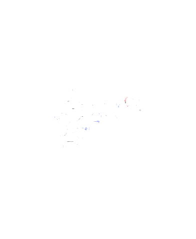 Cc1c2c(-c3ccc(F)cc3)c(-c3ccncc3)c(-c3ccc(F)cc3)nc2nn1C1CCN(C(=O)OC(C)(C)C)CC1